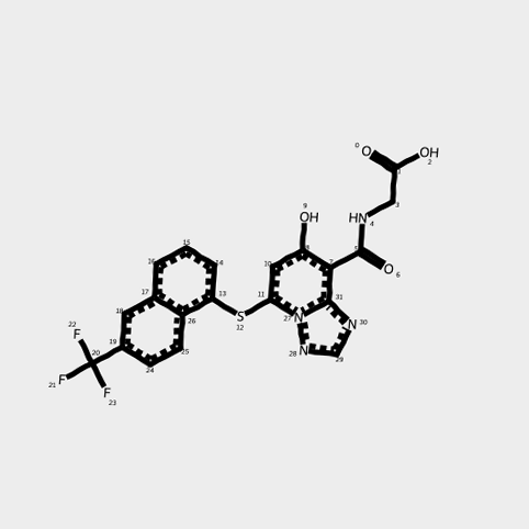 O=C(O)CNC(=O)c1c(O)cc(Sc2cccc3cc(C(F)(F)F)ccc23)n2ncnc12